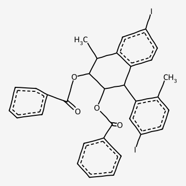 Cc1ccc(I)cc1C1c2ccc(I)cc2C(C)C(OC(=O)c2ccccc2)C1OC(=O)c1ccccc1